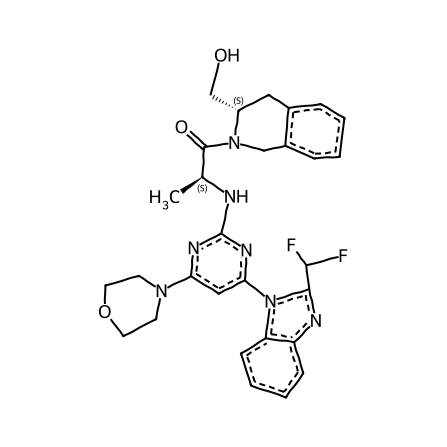 C[C@H](Nc1nc(N2CCOCC2)cc(-n2c(C(F)F)nc3ccccc32)n1)C(=O)N1Cc2ccccc2C[C@H]1CO